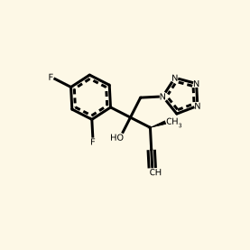 C#C[C@H](C)C(O)(Cn1cnnn1)c1ccc(F)cc1F